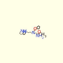 CC(=O)C(N)CCN(CCCCc1ccc2c(n1)NCCC2)CCOc1ccccc1